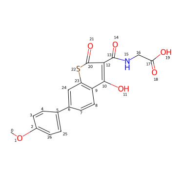 COc1ccc(-c2ccc3c(O)c(C(=O)NCC(=O)O)c(=O)sc3c2)cc1